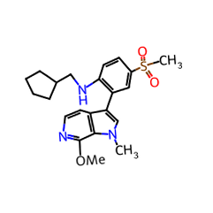 COc1nccc2c(-c3cc(S(C)(=O)=O)ccc3NCC3CCCC3)cn(C)c12